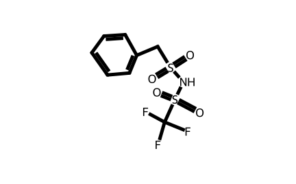 O=S(=O)(Cc1ccccc1)NS(=O)(=O)C(F)(F)F